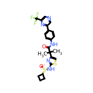 CC(C)(C(=O)Nc1ccc(-c2cncc(C(F)(F)F)n2)cc1)c1csc(N[S+]([O-])C2CCC2)n1